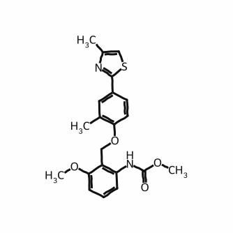 COC(=O)Nc1cccc(OC)c1COc1ccc(-c2nc(C)cs2)cc1C